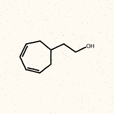 OCCC1CC=CC=CC1